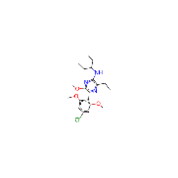 CCc1nc(-c2c(OC)cc(Cl)cc2OC)c(OC)nc1NC(CC)CC